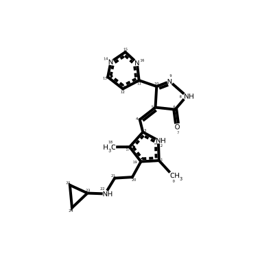 Cc1[nH]c(C=C2C(=O)NN=C2c2ccncn2)c(C)c1CCNC1CC1